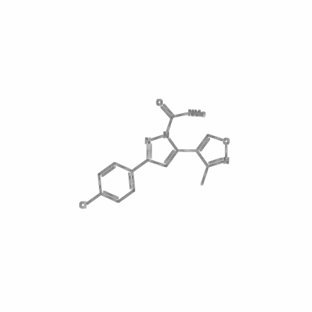 CNC(=O)n1nc(-c2ccc(Cl)cc2)cc1-c1conc1C